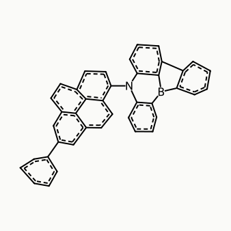 c1ccc(-c2cc3ccc4ccc(N5c6ccccc6B6c7ccccc7-c7cccc5c76)c5ccc(c2)c3c45)cc1